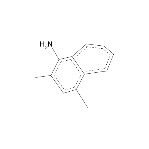 Cc1cc(C)c2ccccc2c1N